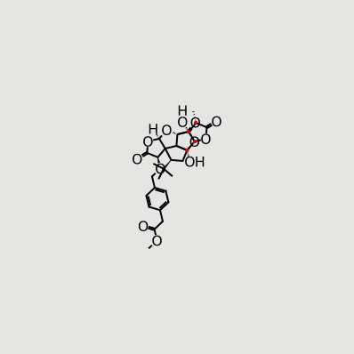 COC(=O)Cc1ccc(CO[C@H]2C(=O)O[C@H]3O[C@]45C(=O)OC6C[C@@H](C(C)(C)C)C32C64[C@@H](O)C2OC(=O)[C@@H](C)[C@@]25O)cc1